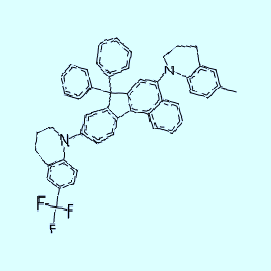 Cc1ccc2c(c1)CCCN2c1cc2c(c3ccccc13)-c1ccc(N3CCCc4cc(C(F)(F)F)ccc43)cc1C2(c1ccccc1)c1ccccc1